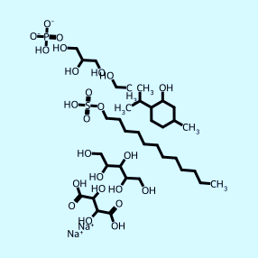 CC1CCC(C(C)C)C(O)C1.CCCCCCCCCCCCOS(=O)(=O)O.CCO.O=C(O)C(O)C(O)C(=O)O.O=P([O-])([O-])O.OCC(O)C(O)C(O)CO.OCC(O)CO.[Na+].[Na+]